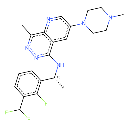 Cc1nnc(N[C@H](C)c2cccc(C(F)F)c2F)c2cc(N3CCN(C)CC3)cnc12